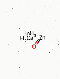 [CaH2].[InH3].[O]=[Zn]